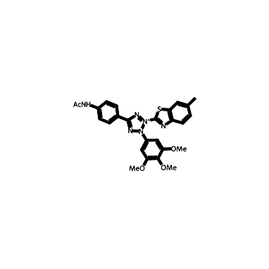 COc1cc(-n2nc(-c3ccc(NC(C)=O)cc3)n[n+]2-c2nc3ccc(C)cc3s2)cc(OC)c1OC